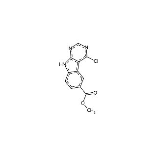 COC(=O)c1ccc2[nH]c3ncnc(Cl)c3c2c1